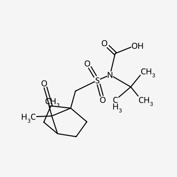 CC(C)(C)N(C(=O)O)S(=O)(=O)CC12CCC(CC1=O)C2(C)C